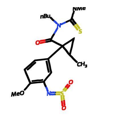 CCCCN(C(=O)C1(c2ccc(OC)c(N=S(=O)=O)c2)CC1C)C(=S)NC